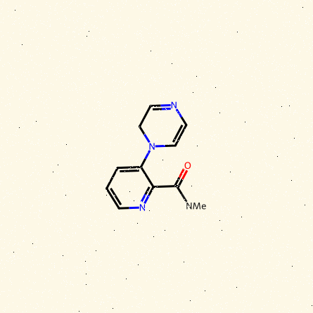 CNC(=O)c1ncccc1N1C=CN=CC1